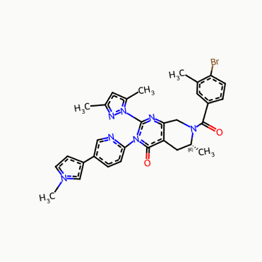 Cc1cc(C)n(-c2nc3c(c(=O)n2-c2ccc(-c4ccn(C)c4)cn2)C[C@@H](C)N(C(=O)c2ccc(Br)c(C)c2)C3)n1